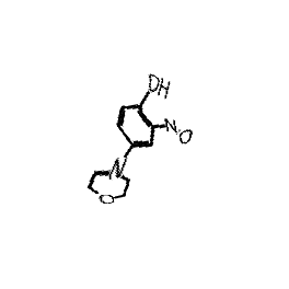 O=Nc1cc(N2CCOCC2)ccc1O